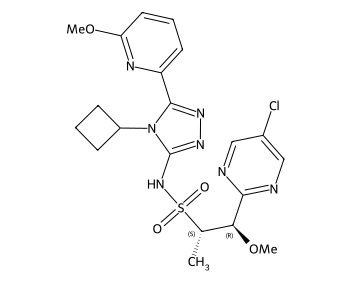 COc1cccc(-c2nnc(NS(=O)(=O)[C@@H](C)[C@H](OC)c3ncc(Cl)cn3)n2C2CCC2)n1